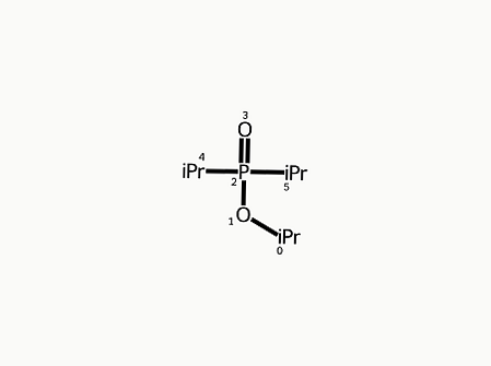 CC(C)OP(=O)(C(C)C)C(C)C